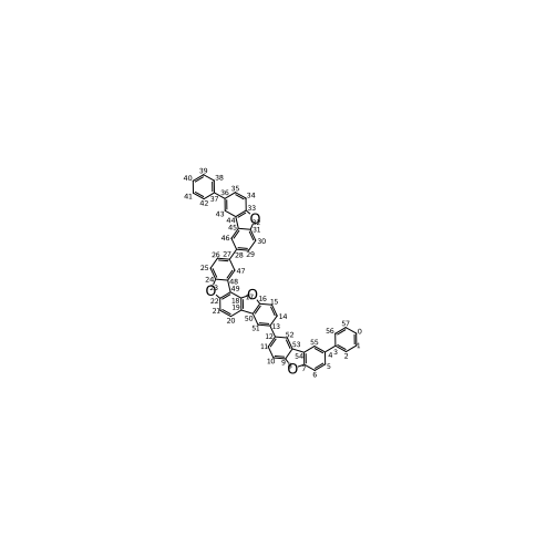 c1ccc(-c2ccc3oc4ccc(-c5ccc6oc7c(ccc8oc9ccc(-c%10ccc%11oc%12ccc(-c%13ccccc%13)cc%12c%11c%10)cc9c87)c6c5)cc4c3c2)cc1